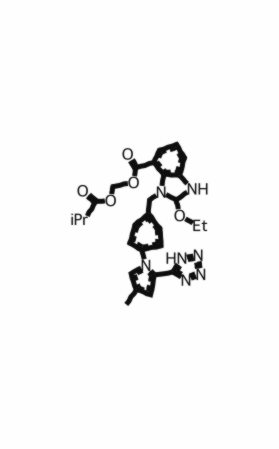 CCOC1Nc2cccc(C(=O)OCOC(=O)C(C)C)c2N1Cc1ccc(-n2cc(C)cc2-c2nnn[nH]2)cc1